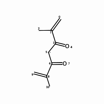 C=C(C)C(=O)[CH]C(=O)C(=C)C